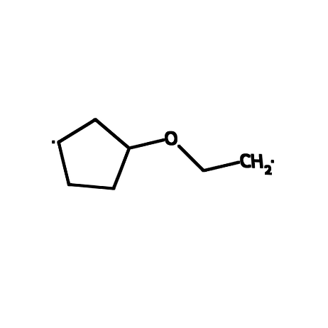 [CH2]COC1C[CH]CC1